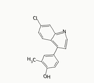 Cc1cc(-c2ccnc3cc(Cl)ccc23)ccc1O